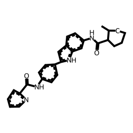 CC1CCCCC1C(=O)Nc1ccc2cc(-c3ccc(NC(=O)c4ccccn4)cc3)[nH]c2c1